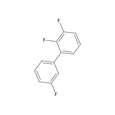 Fc1cccc(-c2cccc(F)c2F)c1